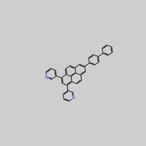 c1ccc(-c2ccc(-c3cc4ccc5c(-c6cccnc6)cc(-c6cccnc6)c6ccc(c3)c4c56)cc2)cc1